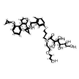 Cc1ccc(SCCCN(CCOCCO)C(=O)C(O)C(O)C(O)C(O)CO)cc1CNC1(c2cnccc2-c2ccccc2OC2CC2)CC1